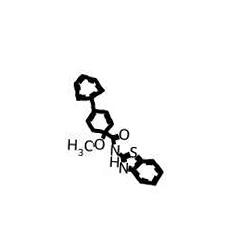 COC1(C(=O)Nc2nc3ccccc3s2)C=CC(c2ccccc2)=CC1